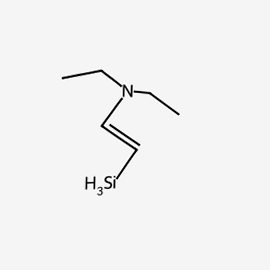 CCN(C=C[SiH3])CC